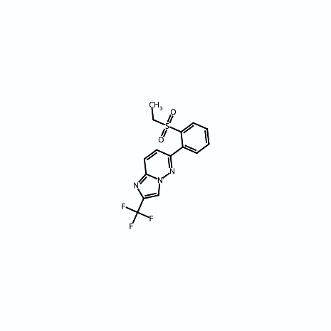 CCS(=O)(=O)c1ccccc1-c1ccc2nc(C(F)(F)F)cn2n1